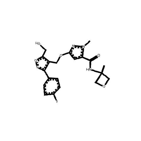 Cn1nc(OCc2c(-c3ccc(F)cc3)noc2CO)cc1C(=O)NC1(C)COC1